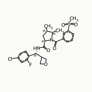 C[C@@H]1C[C@H](C(=O)N[C@@H](c2ccc(Cl)cc2F)C2COC2)N(C(=O)c2cccc(S(C)(=O)=O)c2)[C@@H]1C